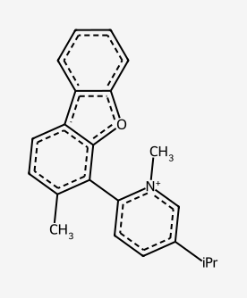 Cc1ccc2c(oc3ccccc32)c1-c1ccc(C(C)C)c[n+]1C